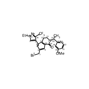 CCn1cc(-c2cc(CBr)cc3c2CCN([C@@H](C)c2cc(OC)ccn2)C3=O)c(C(F)(F)F)n1